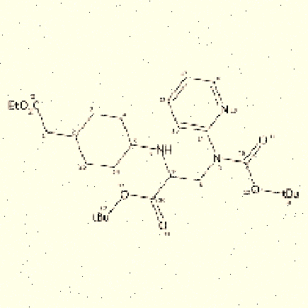 CCOC(=O)CC1CCC(NC(CN(C(=O)OC(C)(C)C)c2ccccn2)C(=O)OC(C)(C)C)CC1